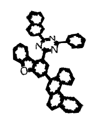 c1ccc(-c2nc(-c3ccc4ccccc4c3)nc(-c3cc(-c4cc5ccc6ccccc6c5c5ccccc45)cc4oc5ccccc5c34)n2)cc1